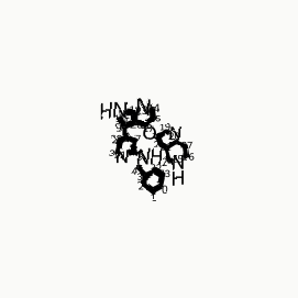 c1ccc(CNc2cc(-c3c[nH]c4nccc(Oc5cnc6c(c5)CNCC6)c34)ccn2)cc1